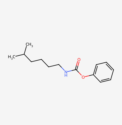 CC(C)CCCCNC(=O)Oc1ccccc1